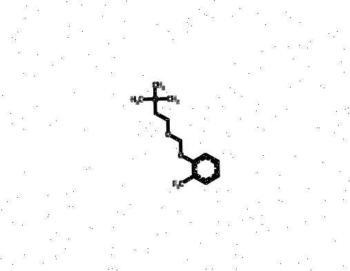 C[Si](C)(C)CCOCOc1ccccc1C(F)(F)F